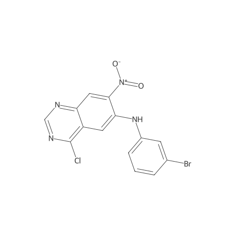 O=[N+]([O-])c1cc2ncnc(Cl)c2cc1Nc1cccc(Br)c1